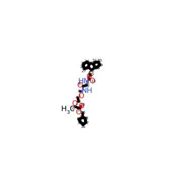 CC(OCCOCNC(=O)CNC(=O)OCC1c2ccccc2-c2ccccc21)C(=O)OCc1ccccc1